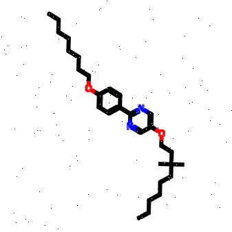 CCCCCCCCOc1ccc(-c2ncc(OCCC(C)(C)CCCCCC)cn2)cc1